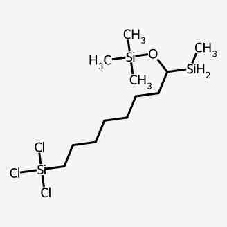 C[SiH2]C(CCCCCCC[Si](Cl)(Cl)Cl)O[Si](C)(C)C